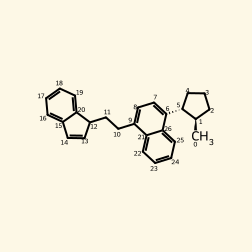 C[C@@H]1CCC[C@H]1c1ccc(CCC2C=Cc3ccccc32)c2ccccc12